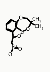 CC1(C)COc2cccc3c2B(OC3C[N+](=O)[O-])O1